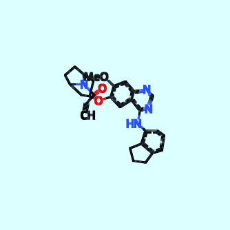 C#CC(=O)N1C2CCC1CC(Oc1cc3c(Nc4cccc5c4CCC5)ncnc3cc1OC)C2